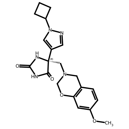 COc1ccc2c(c1)OCN(C[C@@]1(c3cnn(C4CCC4)c3)NC(=O)NC1=O)C2